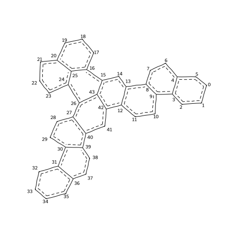 c1ccc2c(c1)ccc1c2ccc2c1cc1c3cccc4cccc(c43)c3c4ccc5c6ccccc6ccc5c4cc2c13